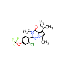 Cc1cc(C(C)C)c2c(=O)n(C)c(-c3ccc(OC(F)(F)F)cc3Cl)nn12